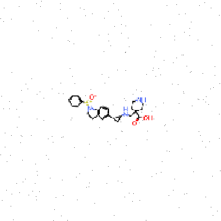 O=C(O)C1(CNC2CC2c2ccc3c(c2)CCN3[S+]([O-])c2ccccc2)CCNCC1